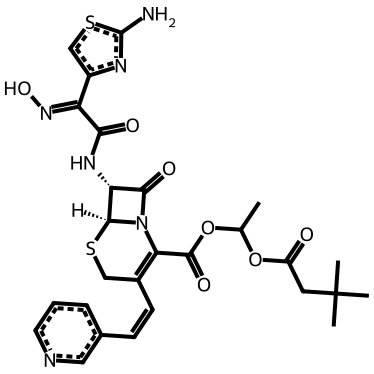 CC(OC(=O)CC(C)(C)C)OC(=O)C1=C(/C=C\c2cccnc2)CS[C@H]2[C@H](NC(=O)C(=NO)c3csc(N)n3)C(=O)N12